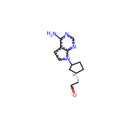 Nc1ncnc2c1ccn2C1CC[C@H](CC=O)C1